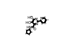 O=C(NC1CCCC1)c1nc(-c2ccccn2)nc(O)c1O